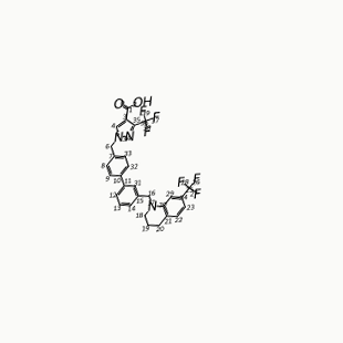 O=C(O)c1cn(Cc2ccc(-c3cccc(CN4CCCc5ccc(C(F)(F)F)cc54)c3)cc2)nc1C(F)(F)F